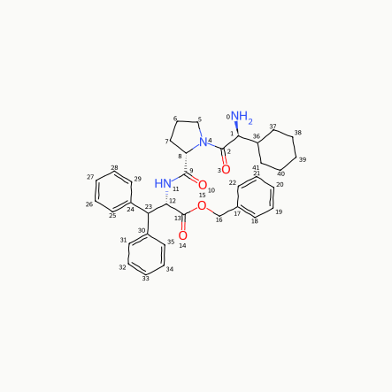 N[C@H](C(=O)N1CCC[C@H]1C(=O)N[C@H](C(=O)OCc1ccccc1)C(c1ccccc1)c1ccccc1)C1CCCCC1